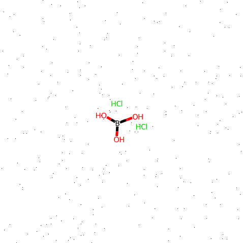 Cl.Cl.OB(O)O